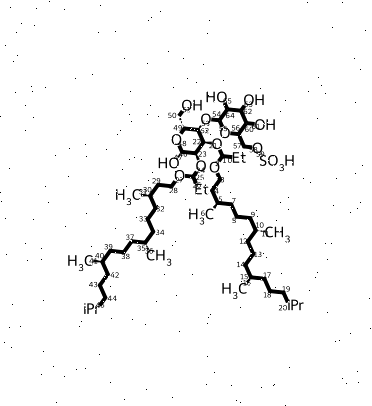 CCC(OCC[C@H](C)CCC[C@H](C)CCC[C@H](C)CCCC(C)C)O[C@H]1[C@@H](OC(CC)OCC[C@H](C)CCC[C@H](C)CCC[C@H](C)CCCC(C)C)[C@H](O)O[C@H](CO)[C@@H]1OC1OC(COS(=O)(=O)O)C(O)C(O)C1O